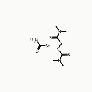 CN(C)C(=S)SSC(=S)N(C)C.NC(=O)S